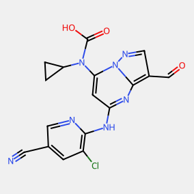 N#Cc1cnc(Nc2cc(N(C(=O)O)C3CC3)n3ncc(C=O)c3n2)c(Cl)c1